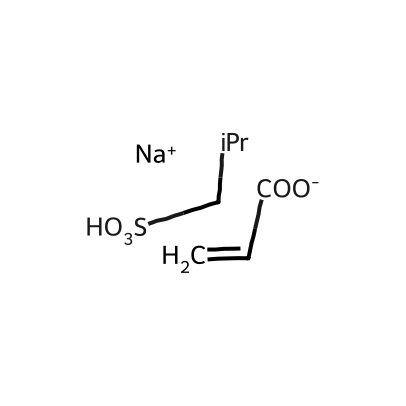 C=CC(=O)[O-].CC(C)CS(=O)(=O)O.[Na+]